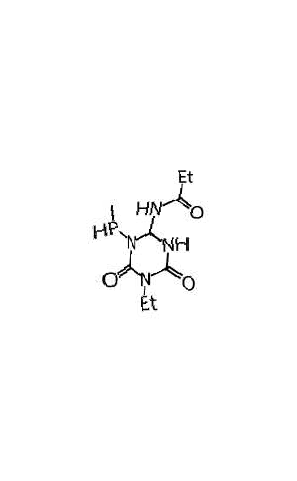 CCC(=O)NC1NC(=O)N(CC)C(=O)N1PC